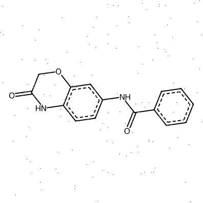 O=C1COc2cc(NC(=O)c3ccccc3)ccc2N1